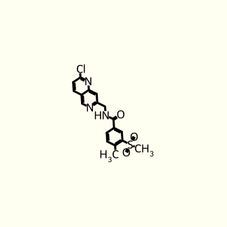 Cc1ccc(C(=O)NCc2cc3nc(Cl)ccc3cn2)cc1S(C)(=O)=O